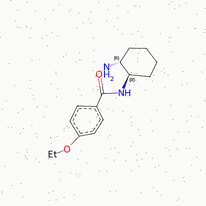 CCOc1ccc(C(=O)N[C@@H]2CCCC[C@H]2N)cc1